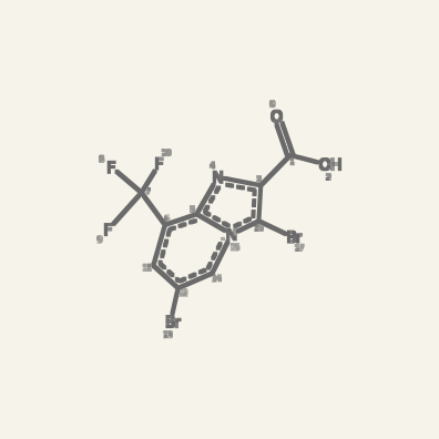 O=C(O)c1nc2c(C(F)(F)F)cc(Br)cn2c1Br